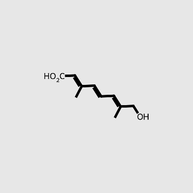 CC(/C=C/C=C(\C)CO)=C\C(=O)O